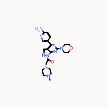 CN1CCN(CC(=O)n2ncc3c(-c4ccc(N)nc4)nc(N4CCOCC4)nc32)CC1